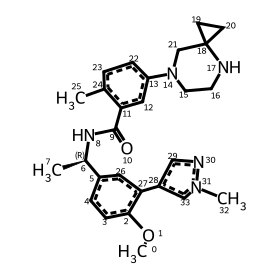 COc1ccc([C@@H](C)NC(=O)c2cc(N3CCNC4(CC4)C3)ccc2C)cc1-c1cnn(C)c1